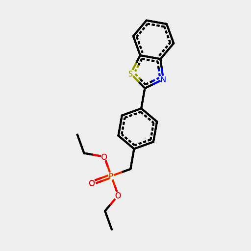 CCOP(=O)(Cc1ccc(-c2nc3ccccc3s2)cc1)OCC